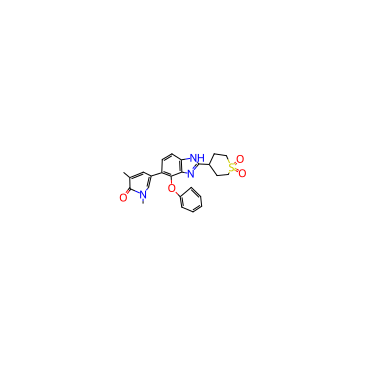 Cc1cc(-c2ccc3[nH]c(C4CCS(=O)(=O)CC4)nc3c2Oc2ccccc2)cn(C)c1=O